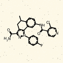 CC1Cc2c(C(N)=O)nn(-c3ccc(F)cc3)c2-c2cc(NC(=O)c3ccncc3Cl)ccc21